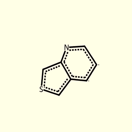 [c]1[c]c2cscc2nc1